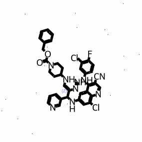 N#Cc1cnc2c(Cl)cc(NC(/C(=C/NC3CCN(C(=O)OCc4ccccc4)CC3)N=N)c3cccnc3)cc2c1Nc1ccc(F)c(Cl)c1